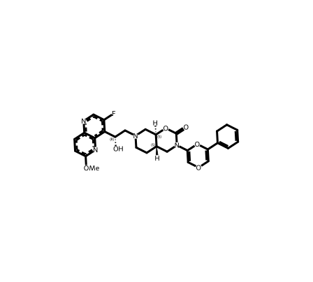 COc1ccc2ncc(F)c([C@@H](O)CN3CC[C@H]4CN(C5=COC=C(C6=CC=CCC6)O5)C(=O)O[C@@H]4C3)c2n1